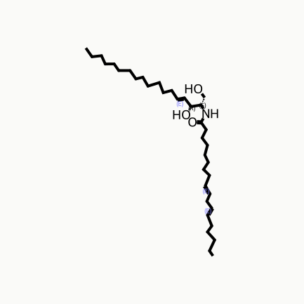 CCCCC/C=C/C/C=C/CCCCCCCC(=O)N[C@@H](CO)[C@H](O)/C=C/CCCCCCCCCCCCC